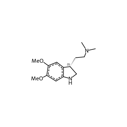 COc1cc2c(cc1OC)[C@H](CCN(C)C)CN2